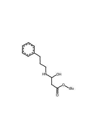 CC(C)(C)OC(=O)CC(O)NCCCc1ccccc1